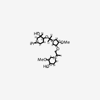 COC1CN(C(C)CO[C@H]2CN(C(C)(C)OC3CCN(C(C)C)CC3(C)O)C[C@H]2OC)CCC1O